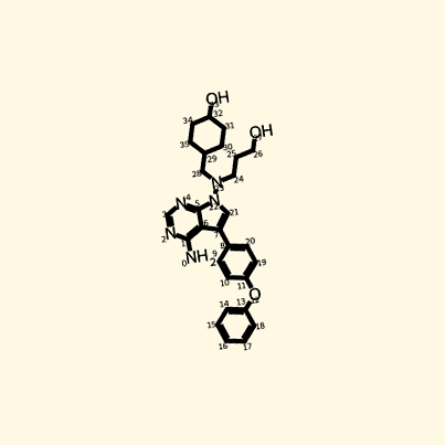 Nc1ncnc2c1c(-c1ccc(Oc3ccccc3)cc1)cn2N(CCCO)CC1CCC(O)CC1